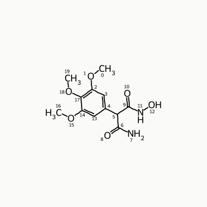 COc1cc(C(C(N)=O)C(=O)NO)cc(OC)c1OC